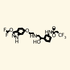 O=S(=O)(CC(F)(F)F)Nc1cccc(C(O)CNCCOc2ccc3c(OC(F)F)n[nH]c3c2)c1